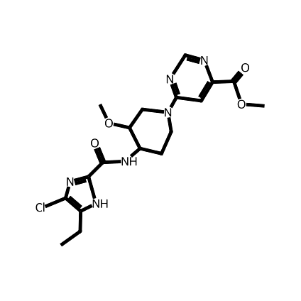 CCc1[nH]c(C(=O)NC2CCN(c3cc(C(=O)OC)ncn3)CC2OC)nc1Cl